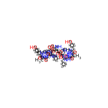 CC(C)CC(NC(=O)C(Cc1ccccc1)NC(=O)CNC(=O)[C@@H](C)NC(=O)C(N)Cc1ccc(O)cc1)C(=O)OC(=O)CCC(N)C(=O)OC(=O)C(CC(C)C)NC(=O)C(Cc1ccccc1)NC(=O)CNC(=O)[C@@H](C)NC(=O)C(N)Cc1ccc(O)cc1